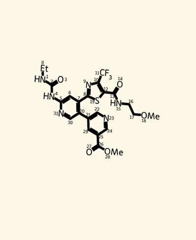 CCNC(=O)Nc1cc(-c2nc(C(F)(F)F)c(C(=O)NCCOC)s2)c(-c2cncc(C(=O)OC)c2)cn1